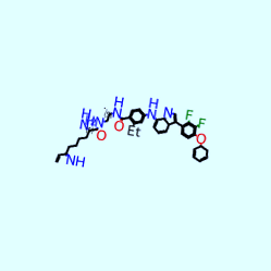 C=CC(=N)CCCC[C@H](N)C(=O)NC[C@H](C)NC(=O)c1ccc(NC2=CC=CC3C(c4ccc(OC5C=CC=CC5)c(F)c4F)=CN=C23)cc1CC